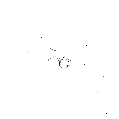 CO[C](F)c1ccccc1